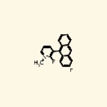 C[n+]1cccc(-c2c3ccccc3cc3ccccc23)c1F.[I-]